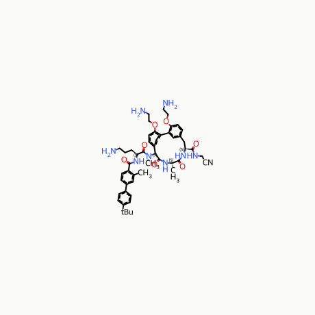 Cc1cc(-c2ccc(C(C)(C)C)cc2)ccc1C(=O)N[C@@H](CCCN)C(=O)N(C)[C@@H]1C(=O)N[C@@H](C)C(=O)N[C@H](C(=O)NCC#N)Cc2ccc(OCCN)c(c2)-c2cc1ccc2OCCN